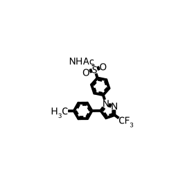 CC(=O)NS(=O)(=O)c1ccc(-n2nc(C(F)(F)F)cc2-c2ccc(C)cc2)cc1